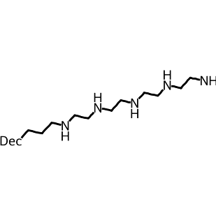 CCCCCCCCCCCCCNCCNCCNCCNCCN